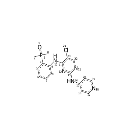 CP(C)(=O)c1ccccc1Nc1nc(Nc2ccncc2)ncc1Cl